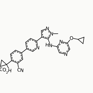 Cn1ncc(-c2ccc(-c3ccc(C4(C(=O)O)CC4)c(C#N)c3)cn2)c1Nc1cncc(OC2CC2)n1